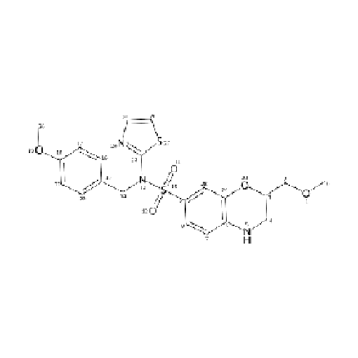 COCC1CNc2ccc(S(=O)(=O)N(Cc3ccc(OC)cc3)c3nccs3)cc2O1